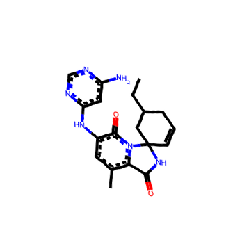 CCC1CC=CC2(C1)NC(=O)c1c(C)cc(Nc3cc(N)ncn3)c(=O)n12